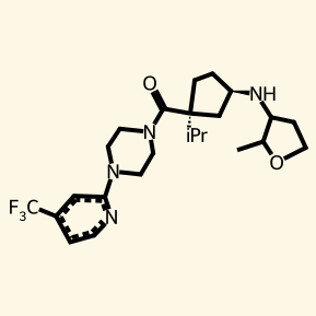 CC1OCCC1N[C@@H]1CC[C@@](C(=O)N2CCN(c3cc(C(F)(F)F)ccn3)CC2)(C(C)C)C1